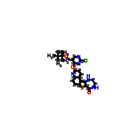 BC(B)(B)C(B)(B)OCc1cnc(Cl)nc1Oc1ccc2c(ccc3sc4c(c32)NCCNC4=O)n1